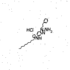 CCCCCCCCCCC(=O)Nc1ccc2c(c1)nc(N)n2CCCc1ccccc1.Cl